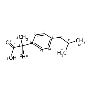 [2H][C@](C)(C(=O)O)c1ccc(CC(C)C)cc1